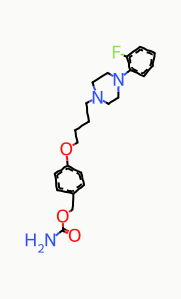 NC(=O)OCc1ccc(OCCCCN2CCN(c3ccccc3F)CC2)cc1